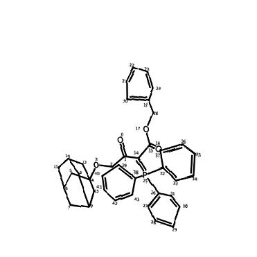 O=C(COC12CC3CC(CC(C3)C1)C2)C(C(=O)OCc1ccccc1)=P(c1ccccc1)(c1ccccc1)c1ccccc1